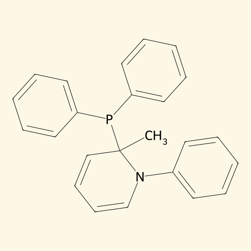 CC1(P(c2ccccc2)c2ccccc2)C=CC=CN1c1ccccc1